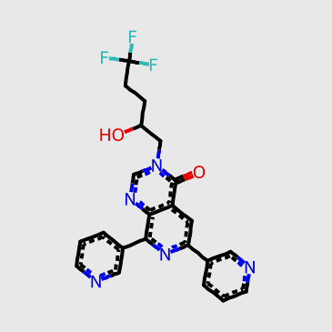 O=c1c2cc(-c3cccnc3)nc(-c3cccnc3)c2ncn1CC(O)CCC(F)(F)F